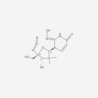 CC1(C)[C@H](n2ccc(=O)[nH]/c2=N\O)O[C@@](CO)(N=[N+]=[N-])[C@H]1O